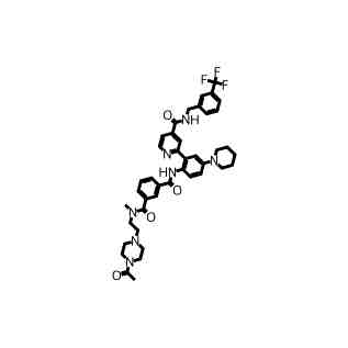 CC(=O)N1CCN(CCN(C)C(=O)c2cccc(C(=O)Nc3ccc(N4CCCCC4)cc3-c3cc(C(=O)NCc4cccc(C(F)(F)F)c4)ccn3)c2)CC1